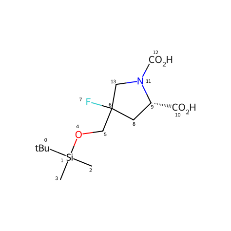 CC(C)(C)[Si](C)(C)OCC1(F)C[C@@H](C(=O)O)N(C(=O)O)C1